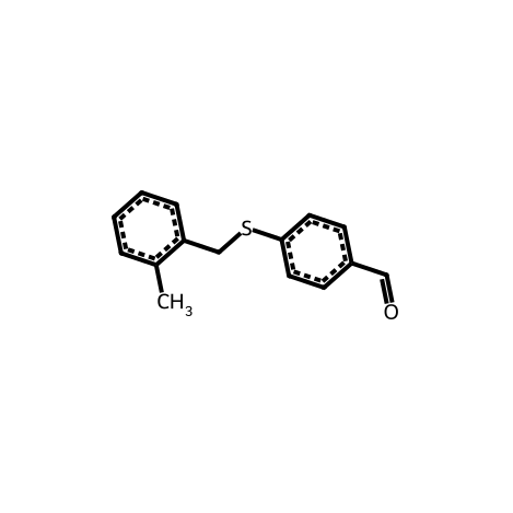 Cc1ccccc1CSc1ccc(C=O)cc1